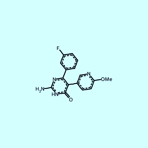 COc1ccc(-c2c(-c3cccc(F)c3)nc(N)[nH]c2=O)cn1